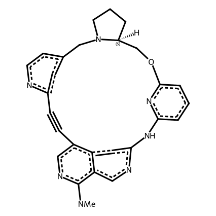 CNc1ncc2c3cc(ncc13)Nc1cccc(n1)OC[C@@H]1CCCN1Cc1ccnc(c1)C#C2